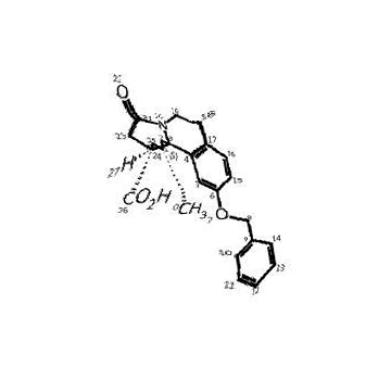 C[C@H]1CC23c4cc(OCc5ccccc5)ccc4CCN2C(=O)C[C@H]3[C@@H]1C(=O)O